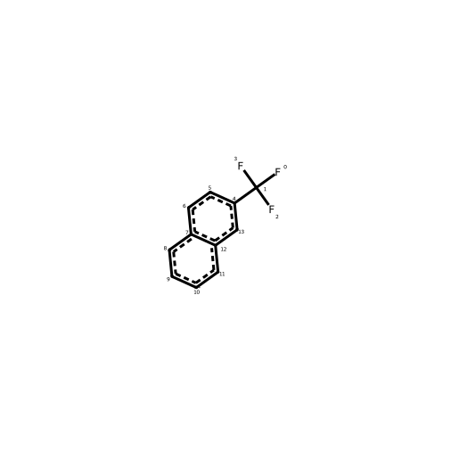 FC(F)(F)c1ccc2cc[c]cc2c1